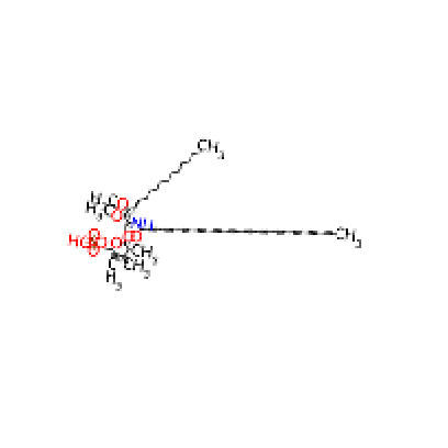 CC#CC#CC#CC#CC#CC#CC#CC#CC#CC#CC#CC#CC(=O)N[C@@H](CO[C@H]1OC(COS(=O)(=O)O)[C@H](C)[C@H](C)C1C)[C@@H]1OC(C)(C)O[C@@H]1C=CCCCCCCCCCCCC